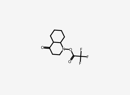 O=C1CCN(OC(=O)C(F)(F)F)C2CCCCC12